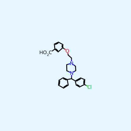 O=C(O)c1cccc(OCCN2CCN(C(c3ccccc3)c3ccc(Cl)cc3)CC2)c1